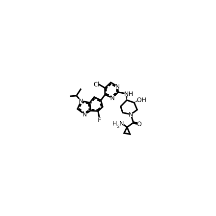 CC(C)n1cnc2c(F)cc(-c3nc(N[C@@H]4CCN(C(=O)C5(N)CC5)C[C@H]4O)ncc3Cl)cc21